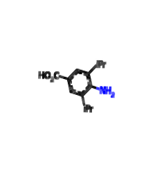 CC(C)c1cc(C(=O)O)cc(C(C)C)c1N